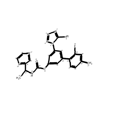 CCCc1nnnn1-c1cc(OC(=O)NC(C)c2cnccn2)cc(-c2ccc(C)cc2F)c1